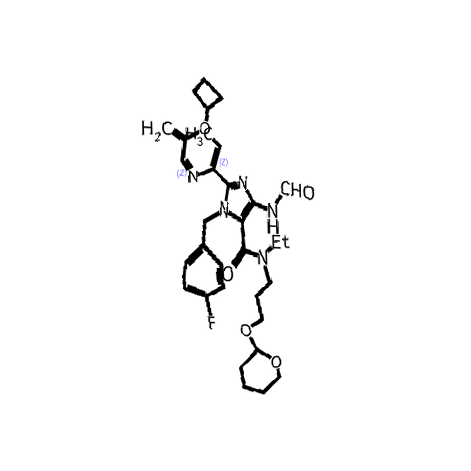 C=C(/C=N\C(=C/C)c1nc(NC=O)c(C(=O)N(CC)CCCOC2CCCCO2)n1Cc1ccc(F)cc1)OC1CCC1